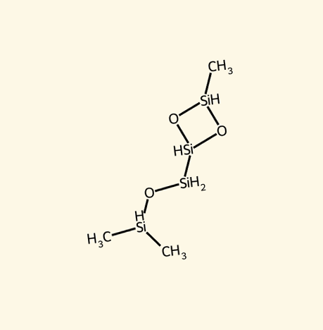 C[SiH](C)O[SiH2][SiH]1O[SiH](C)O1